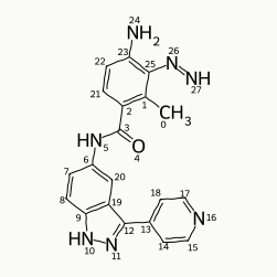 Cc1c(C(=O)Nc2ccc3[nH]nc(-c4ccncc4)c3c2)ccc(N)c1N=N